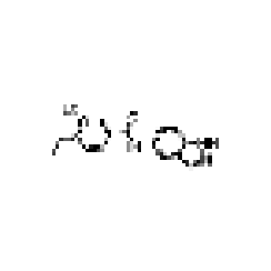 C=C(/C=C\C(=C/C)OCC)C(=O)Nc1ccc2[nH]ncc2c1